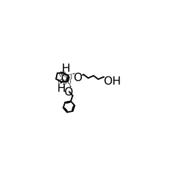 OCCCCCOC[C@@H]1[C@H](COCc2ccccc2)[C@@H]2CC[C@H]1O2